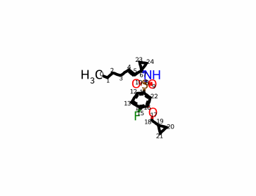 CCCC/C=C/C1(NS(=O)(=O)c2ccc(F)c(OCC3CC3)c2)CC1